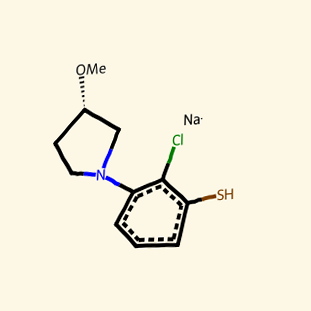 CO[C@H]1CCN(c2cccc(S)c2Cl)C1.[Na]